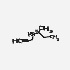 C#CCN[C@@H](C)CC